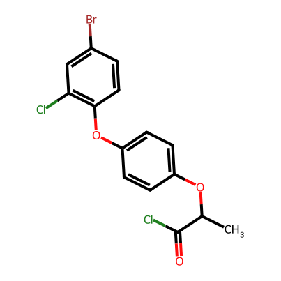 CC(Oc1ccc(Oc2ccc(Br)cc2Cl)cc1)C(=O)Cl